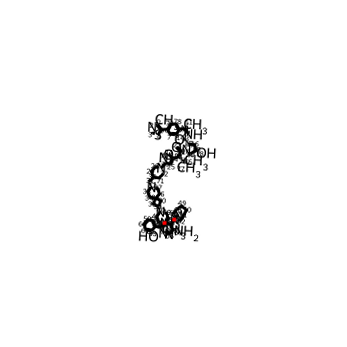 Cc1ncsc1-c1ccc([C@H](C)NC(=O)[C@@H]2C[C@@H](O)CN2C(=O)[C@@H](c2cc(N3CCC(CN4CCC5(CC4)CC(N4CCN(C)[C@@H](CN6C7CCC6CN(c6cc(-c8ccccc8O)nnc6N)C7)C4)C5)CC3)no2)C(C)C)cc1